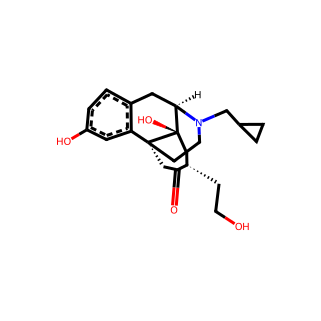 O=C1C[C@]23CCN(CC4CC4)[C@H](Cc4ccc(O)cc42)[C@]3(O)C[C@@H]1CCO